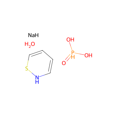 C1=CNSC=C1.O.O=[PH](O)O.[NaH]